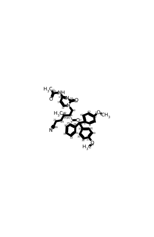 COc1ccc(C(OC[C@@H](Cn2ccc(NC(C)=O)nc2=O)[C@H](C)[CH]CC#N)(c2ccccc2)c2ccc(OC)cc2)cc1